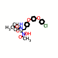 CC(=O)N(O)C[C@H](Cc1ccc(Oc2ccc(Oc3ccc(Cl)cc3)cc2)cc1)NC(=O)OC(C)(C)C